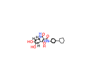 O=C(Nc1ccc(C2CCCCC2)cc1)C1=C(O)C2[C@@H]3C[C@@H](C(O)C3O)[C@H]2NC1=O